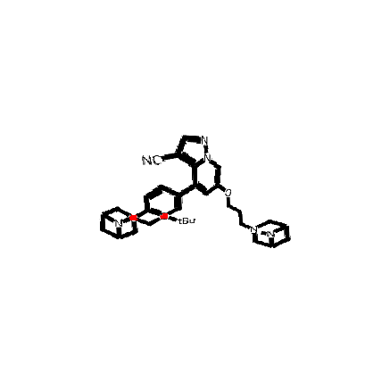 CN1C2CC1CN(CCCOc1cc(-c3ccc(N4CC5CC(C4)N5CCOC(C)(C)C)nc3)c3c(C#N)cnn3c1)C2